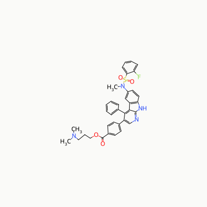 CN(C)CCCOC(=O)c1ccc(-c2cnc3[nH]c4ccc(N(C)S(=O)(=O)c5ccccc5F)cc4c3c2-c2ccccc2)cc1